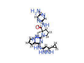 C[C@@]1(C(=O)Nc2cnc(N)cn2)CCCN1c1nc(NC2=CC(C3CC3)NN2)c2cccn2n1